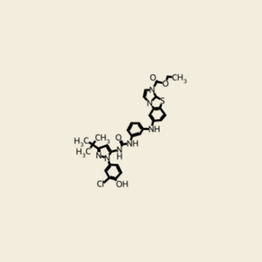 CCOC(=O)N1C=CN2c3cc(Nc4cccc(NC(=O)Nc5cc(C(C)(C)C)nn5-c5ccc(O)c(Cl)c5)c4)ccc3SC12